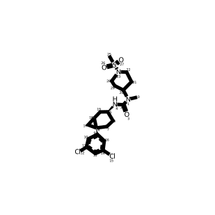 CN(C(=O)N[C@H]1CC[C@@]2(c3cc(Cl)cc(Cl)c3)CC2C1)C1CCN(S(C)(=O)=O)CC1